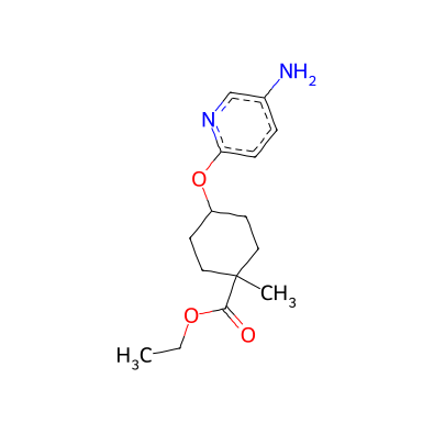 CCOC(=O)C1(C)CCC(Oc2ccc(N)cn2)CC1